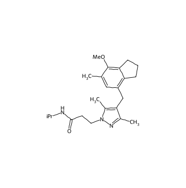 COc1c(C)cc(Cc2c(C)nn(CCC(=O)NC(C)C)c2C)c2c1CCC2